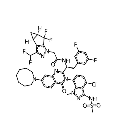 Cn1nc(NS(C)(=O)=O)c2c(Cl)ccc(-n3c([C@H](Cc4cc(F)cc(F)c4)NC(=O)Cn4nc(C(F)F)c5c4C(F)(F)[C@@H]4C[C@H]54)nc4cc(N5CCCCCCC5)ccc4c3=O)c21